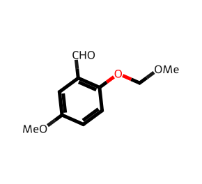 COCOc1ccc(OC)cc1C=O